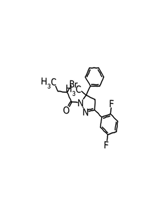 CCC(Br)C(=O)N1N=C(c2cc(F)ccc2F)CC1(C)c1ccccc1